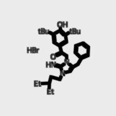 Br.CCC(CC)CCn1cc(Cc2ccccc2)n(CC(=O)c2cc(C(C)(C)C)c(O)c(C(C)(C)C)c2)c1=N